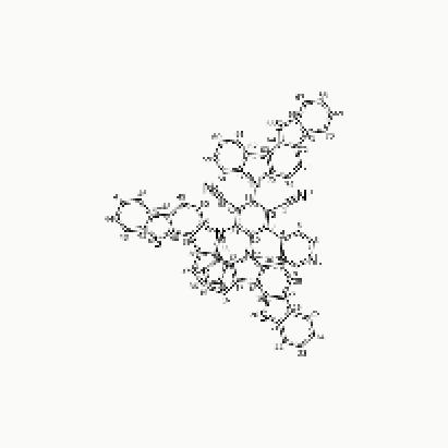 N#Cc1c(-c2ccncc2)c(-n2c3ccccc3c3c4sc5ccccc5c4ccc32)c(-n2c3ccccc3c3c4sc5ccccc5c4ccc32)c(C#N)c1-n1c2ccccc2c2c3sc4ccccc4c3ccc21